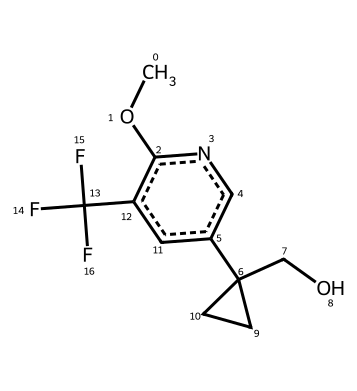 COc1ncc(C2(CO)CC2)cc1C(F)(F)F